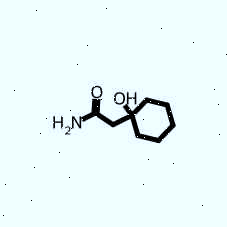 NC(=O)CC1(O)CCCCC1